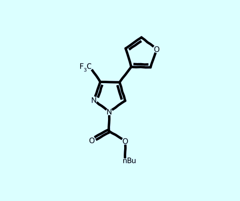 CCCCOC(=O)n1cc(-c2ccoc2)c(C(F)(F)F)n1